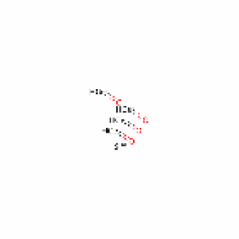 [O]=[GeH-].[O]=[GeH-].[O]=[GeH-].[O]=[GeH-].[Si+4]